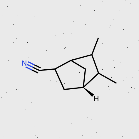 CC1C2C[C@@H](CC2C#N)C1C